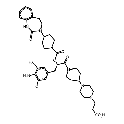 Nc1c(Cl)cc(C[C@@H](OC(=O)N2CCC(N3CCc4ccccc4NC3=O)CC2)C(=O)N2CCC(N3CCN(CCC(=O)O)CC3)CC2)cc1C(F)(F)F